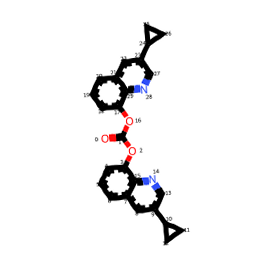 O=C(Oc1cccc2cc(C3CC3)cnc12)Oc1cccc2cc(C3CC3)cnc12